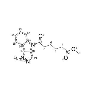 COC(=O)CCCCC(=O)n1c2ccccc2c2c1cnn2C